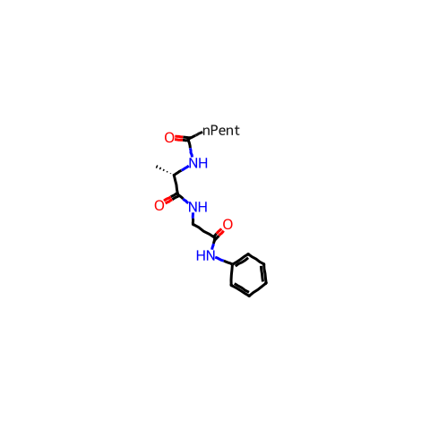 CCCCCC(=O)N[C@@H](C)C(=O)NCC(=O)Nc1ccccc1